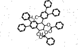 Cc1cc(-c2ccccc2)c(-c2ccccc2)cc1C1c2cc(-c3ccccc3)c(-c3ccccc3)cc2C(C)C(OC(=O)c2ccccc2)C1OC(=O)c1ccccc1